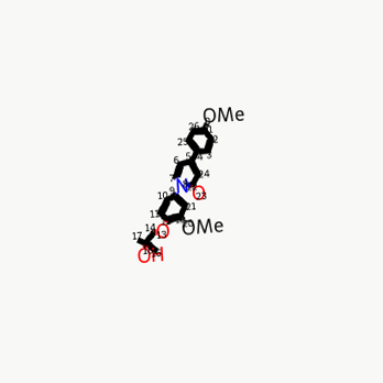 COc1ccc(-c2ccn(-c3ccc(OCC(C)(C)O)c(OC)c3)c(=O)c2)cc1